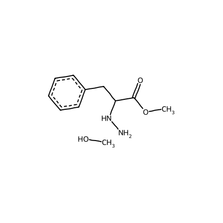 CO.COC(=O)C(Cc1ccccc1)NN